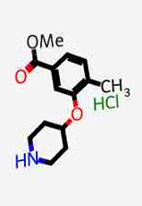 COC(=O)c1ccc(C)c(OC2CCNCC2)c1.Cl